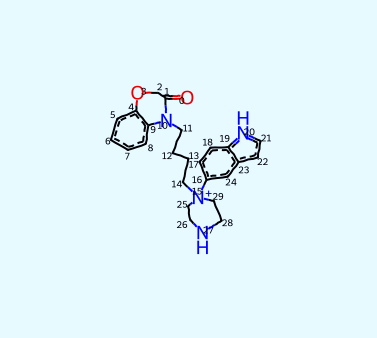 O=C1COc2ccccc2N1CCCC[N+]1(c2ccc3[nH]ccc3c2)CCNCC1